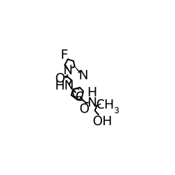 C[C@@H](CCO)NC(=O)C12CCC(NCC(=O)N3C[C@@H](F)C[C@H]3C#N)(CC1)CC2